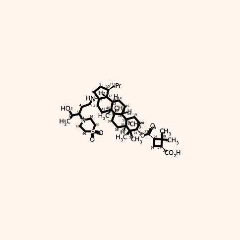 CC(O)C(CCN[C@]12CC[C@@H](C(C)C)[C@@H]1[C@H]1CC[C@@H]3[C@@]4(C)CC[C@H](OC(=O)[C@H]5C[C@@H](C(=O)O)C5(C)C)C(C)(C)[C@@H]4CC[C@@]3(C)[C@]1(C)CC2)N1CCS(=O)(=O)CC1